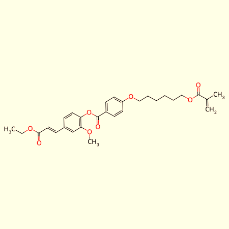 C=C(C)C(=O)OCCCCCCOc1ccc(C(=O)Oc2ccc(C=CC(=O)OCC)cc2OC)cc1